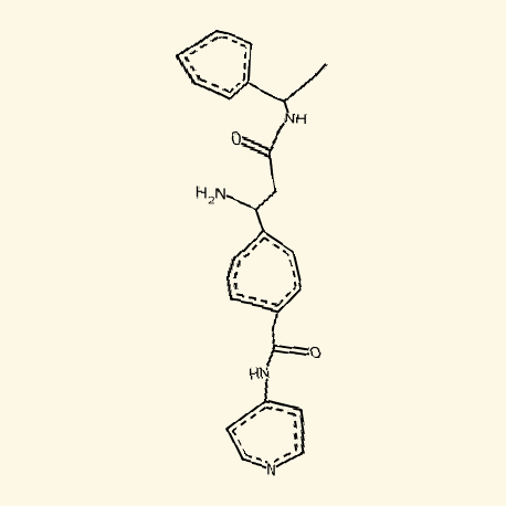 CC(NC(=O)CC(N)c1ccc(C(=O)Nc2ccncc2)cc1)c1ccccc1